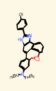 CCCCN(CCCC)c1ccc2c(c1)Oc1cccc3c1c-2cc1[nH]c(-c2ccc(C#N)cc2)nc13